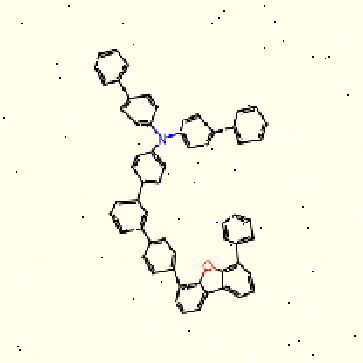 c1ccc(-c2ccc(N(c3ccc(-c4ccccc4)cc3)c3ccc(-c4cccc(-c5ccc(-c6cccc7c6oc6c(-c8ccccc8)cccc67)cc5)c4)cc3)cc2)cc1